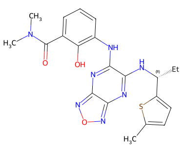 CC[C@@H](Nc1nc2nonc2nc1Nc1cccc(C(=O)N(C)C)c1O)c1ccc(C)s1